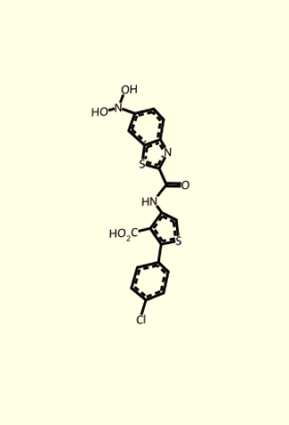 O=C(Nc1csc(-c2ccc(Cl)cc2)c1C(=O)O)c1nc2ccc(N(O)O)cc2s1